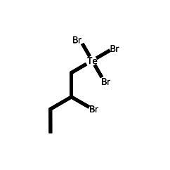 CCC(Br)C[Te](Br)(Br)Br